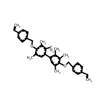 C=Cc1ccc(COc2c(C)cc(-c3cc(C)c(OCc4ccc(C=C)cc4)c(C)c3C)c(C)c2C)cc1